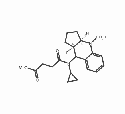 COC(=O)CCC(=O)N(C1CC1)C1c2ccccc2N(C(=O)O)[C@@H]2CCC[C@H]12